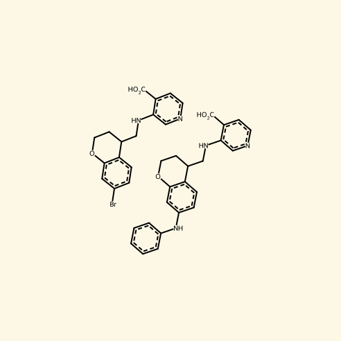 O=C(O)c1ccncc1NCC1CCOc2cc(Br)ccc21.O=C(O)c1ccncc1NCC1CCOc2cc(Nc3ccccc3)ccc21